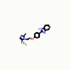 Cc1ncc([N+](=O)[O-])n1CCOc1ccc(-c2nc3ccccc3[nH]2)cc1